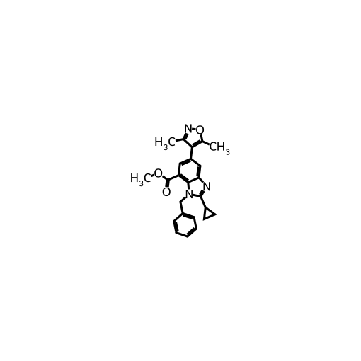 COC(=O)c1cc(-c2c(C)noc2C)cc2nc(C3CC3)n(Cc3ccccc3)c12